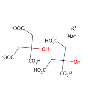 O=C(O)CC(O)(CC(=O)O)C(=O)O.O=C([O-])CC(O)(CC(=O)[O-])C(=O)O.[K+].[Na+]